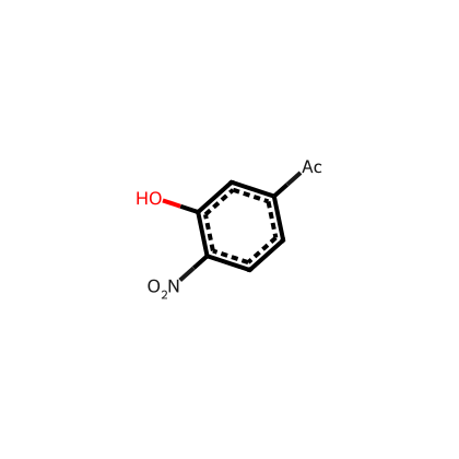 CC(=O)c1ccc([N+](=O)[O-])c(O)c1